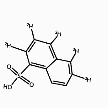 [2H]c1ccc2c(S(=O)(=O)O)c([2H])c([2H])c([2H])c2c1[2H]